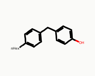 CCCCCCc1ccc(Cc2ccc(O)cc2)cc1